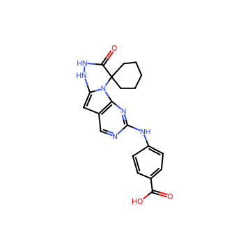 O=C(O)c1ccc(Nc2ncc3cc4n(c3n2)C2(CCCCC2)C(=O)NN4)cc1